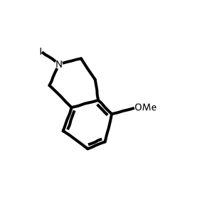 COc1cccc2c1CCN(I)C2